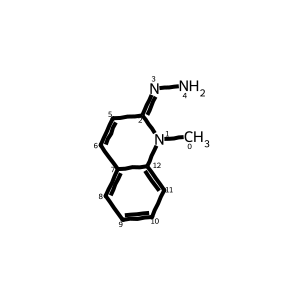 Cn1c(=NN)ccc2ccccc21